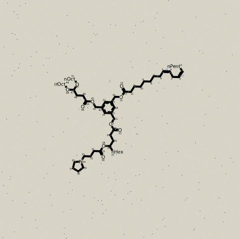 CCCCC/C=C\C/C=C\CCCCCCCC(=O)OCc1cc(COC(=O)CCC(CCCCCC)OC(=O)CCCN2CCCC2)cc(COC(=O)CCC(OCCCCCCCC)OCCCCCCCC)c1